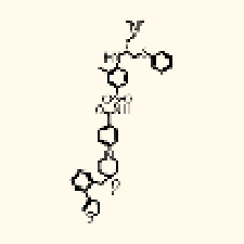 COC1(Cc2ccccc2-c2ccsc2)CCN(c2ccc(C(=O)NS(=O)(=O)c3ccc(N[C@H](CCN(C)C)CSc4ccccc4)c(C)c3)cc2)CC1